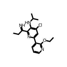 CCOc1ncccc1-c1cc(Cl)c(NC(C)C)c(C(=N)CC)n1